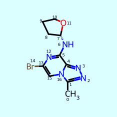 Cc1nnc2c(N[C@@H]3CCCO3)nc(Br)cn12